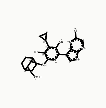 N#Cc1c(-c2c[nH]c3ncc(Cl)nc23)nc(NC2C3CCC(CC3)C2C(=O)O)c(F)c1C1CC1